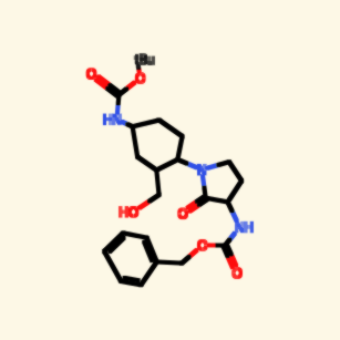 CC(C)(C)OC(=O)NC1CCC(N2CCC(NC(=O)OCc3ccccc3)C2=O)C(CO)C1